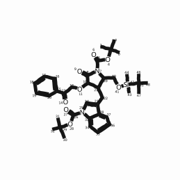 CC(C)(C)OC(=O)N1C(=O)C(OCC(=O)c2ccccc2)C(Cc2cn(C(=O)OC(C)(C)C)c3ccccc23)C1CO[Si](C)(C)C(C)(C)C